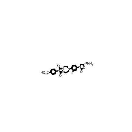 NC[C@H]1CN(c2ccc(N3CCn4c(=O)n(-c5ccc(C(=O)O)cc5)c(=O)n4CC3)c(F)c2)C(=O)O1